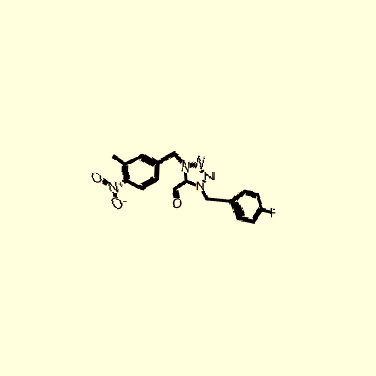 Cc1cc(CN2N=NN(Cc3ccc(F)cc3)C2C=O)ccc1[N+](=O)[O-]